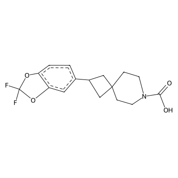 O=C(O)N1CCC2(CC1)CC(c1ccc3c(c1)OC(F)(F)O3)C2